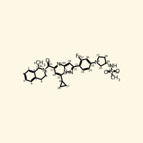 C[C@@H]1c2ccccc2CCN1C(=O)c1cc(C2CC2)n2nc(-c3ccc(N4CC[C@H](NS(C)(=O)=O)C4)cc3F)cc2n1